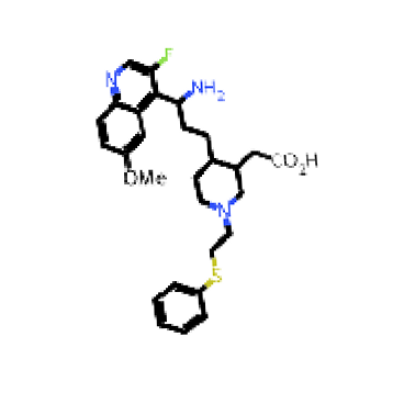 COc1ccc2ncc(F)c(C(N)CCC3CCN(CCSc4ccccc4)CC3CC(=O)O)c2c1